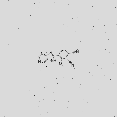 COc1c(-c2nc3ncncc3[nH]2)ccc(C#N)c1C#N